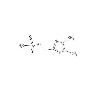 Cc1nc(COS(C)(=O)=O)sc1C